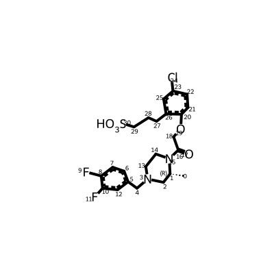 C[C@@H]1CN(Cc2ccc(F)c(F)c2)CCN1C(=O)COc1ccc(Cl)cc1CCCS(=O)(=O)O